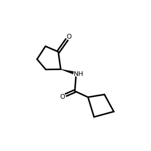 O=C(N[C@H]1CCCC1=O)C1CCC1